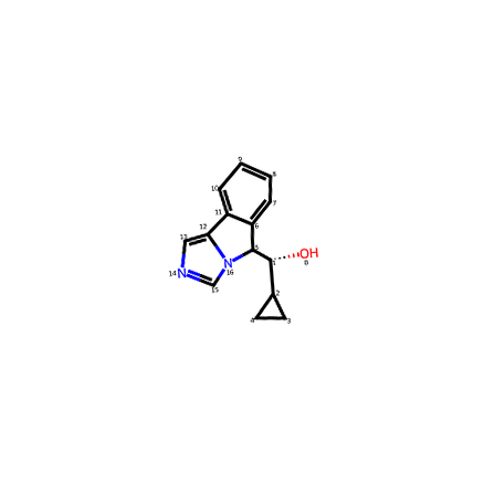 O[C@H](C1CC1)C1c2ccccc2-c2cncn21